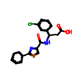 O=C(O)CC(NC(=O)c1csc(-c2ccccc2)n1)c1cccc(Cl)c1